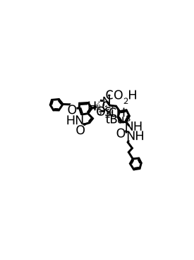 CC(C)(C)[Si](C)(C)O[C@@H](CN(CCc1ccc(NC(=O)NCCCc2ccccc2)cc1)C(=O)O)c1ccc(OCc2ccccc2)c2[nH]c(=O)ccc12